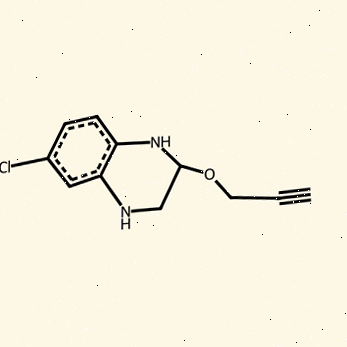 C#CCOC1CNc2cc(Cl)ccc2N1